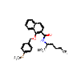 O=C(N[C@@H](CCCC(F)(F)F)C(=O)O)c1ccc2ccccc2c1OCc1ccc(SC(F)(F)F)cc1